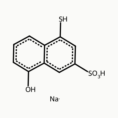 O=S(=O)(O)c1cc(S)c2cccc(O)c2c1.[Na]